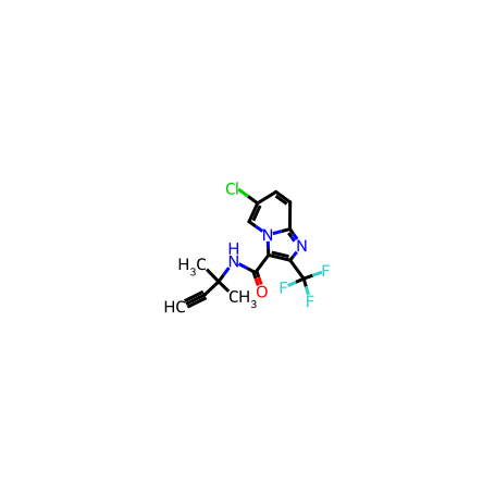 C#CC(C)(C)NC(=O)c1c(C(F)(F)F)nc2ccc(Cl)cn12